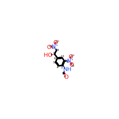 O=CNc1ccc([C@H](O)C[N+](=O)[O-])cc1[N+](=O)[O-]